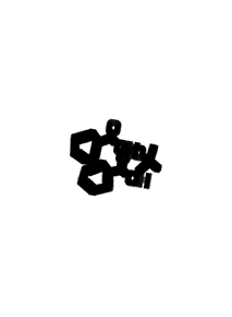 CC(C)(C)O.O=C(O)c1ccccc1.O=C(O)c1ccccc1